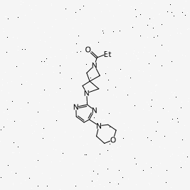 CCC(=O)N1CC2(C1)CN(c1nccc(N3CCOCC3)n1)C2